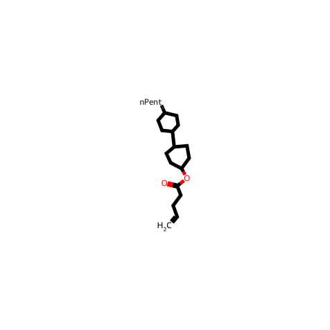 C=CCCC(=O)OC1CCC(C2CCC(CCCCC)CC2)CC1